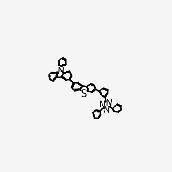 c1ccc(-c2nc(-c3ccccc3)nc(-c3cccc(-c4ccc5c(c4)sc4ccc(-c6ccc7c(c6)c6ccccc6n7-c6ccccc6)cc45)c3)n2)cc1